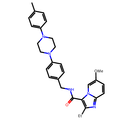 CCc1nc2ccc(OC)cn2c1C(=O)NCc1ccc(N2CCN(c3ccc(C)cc3)CC2)cc1